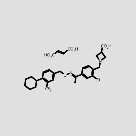 CCc1cc(/C(C)=N/OCc2ccc(C3CCCCC3)c(C(F)(F)F)c2)ccc1CN1CC(C(=O)O)C1.O=C(O)/C=C/C(=O)O